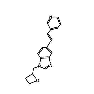 C(=C\c1ccc2c(c1)ncn2C[C@@H]1CCO1)/c1cccnc1